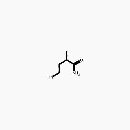 CC(CC[NH])C(N)=O